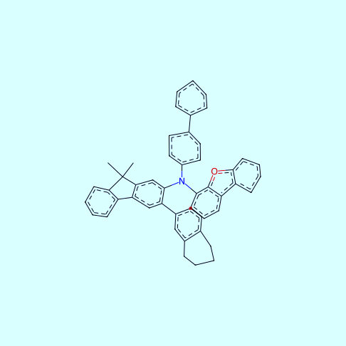 CC1(C)c2ccccc2-c2cc(-c3ccc4c(c3)CCCC4)c(N(c3ccc(-c4ccccc4)cc3)c3cccc4c3oc3ccccc34)cc21